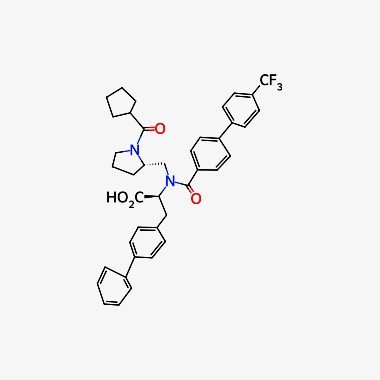 O=C(O)[C@H](Cc1ccc(-c2ccccc2)cc1)N(C[C@@H]1CCCN1C(=O)C1CCCC1)C(=O)c1ccc(-c2ccc(C(F)(F)F)cc2)cc1